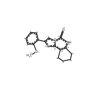 COc1ccccc1-c1cn2c(=O)[nH]c3c(c2n1)CCCC3